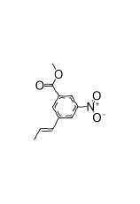 C/C=C/c1cc(C(=O)OC)cc([N+](=O)[O-])c1